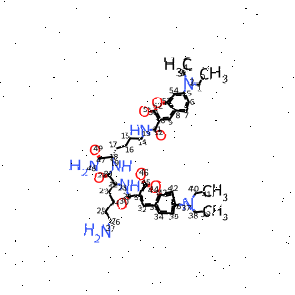 CCN(CC)c1ccc2cc(C(=O)NCCCC[C@H](NC(=O)[C@H](CCCCN)NC(=O)c3cc4ccc(N(CC)CC)cc4oc3=O)C(N)=O)c(=O)oc2c1